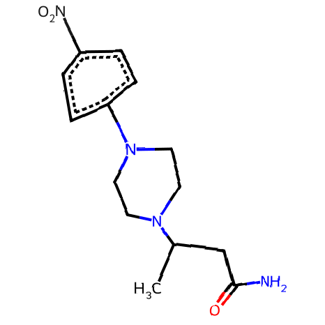 CC(CC(N)=O)N1CCN(c2ccc([N+](=O)[O-])cc2)CC1